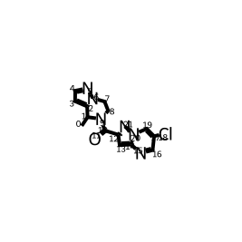 CC1c2ccnn2CCN1C(=O)c1cc2ncc(Cl)cn2n1